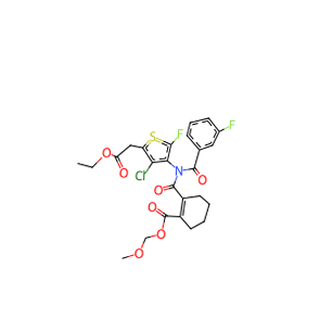 CCOC(=O)Cc1sc(F)c(N(C(=O)C2=C(C(=O)OCOC)CCCC2)C(=O)c2cccc(F)c2)c1Cl